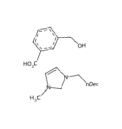 CCCCCCCCCCCN1C=CN(C)C1.O=C(O)c1cccc(CO)c1